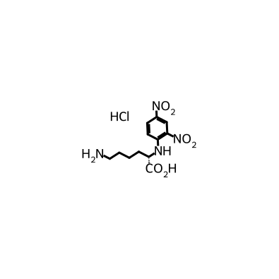 Cl.NCCCC[C@H](Nc1ccc([N+](=O)[O-])cc1[N+](=O)[O-])C(=O)O